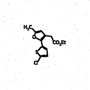 CCOC(=O)Cc1cc(C)oc1-c1ccc(Cl)s1